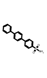 NS(=O)(=O)c1ccc(-c2ccc(-c3ccccc3)cc2)cc1